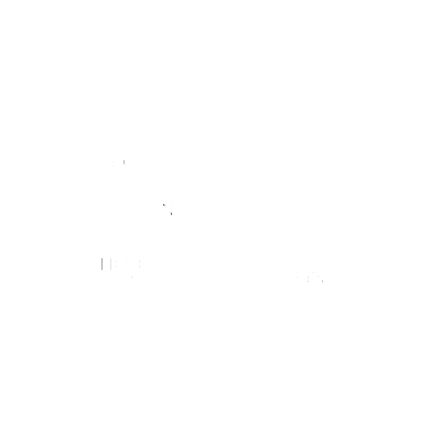 CCCCCCCCCCCC[N+]1(CC(=O)O)CCOCC1